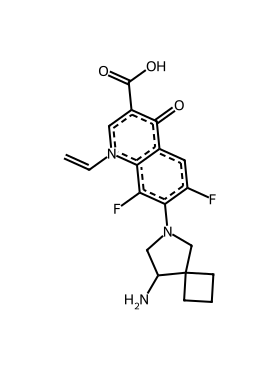 C=Cn1cc(C(=O)O)c(=O)c2cc(F)c(N3CC(N)C4(CCC4)C3)c(F)c21